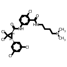 CN(C)CCCCNC(=O)c1cc(NC(=O)[C@H]2[C@H](c3cc(Cl)cc(Cl)c3)C2(Cl)Cl)ccc1Cl